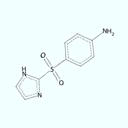 Nc1ccc(S(=O)(=O)c2ncc[nH]2)cc1